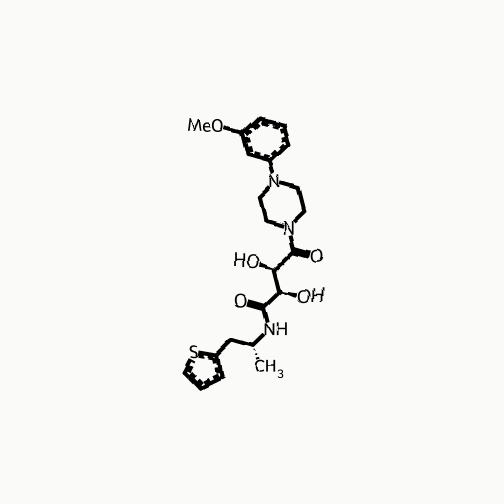 COc1cccc(N2CCN(C(=O)[C@H](O)[C@@H](O)C(=O)N[C@H](C)Cc3cccs3)CC2)c1